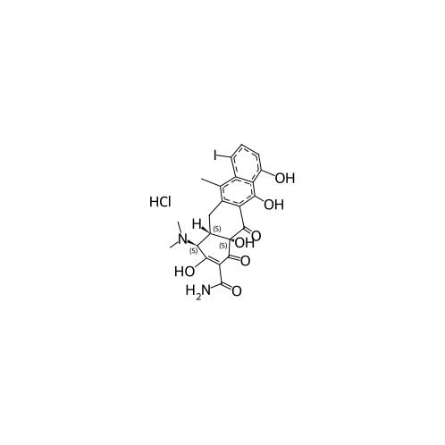 Cc1c2c(c(O)c3c(O)ccc(I)c13)C(=O)[C@]1(O)C(=O)C(C(N)=O)=C(O)[C@@H](N(C)C)[C@@H]1C2.Cl